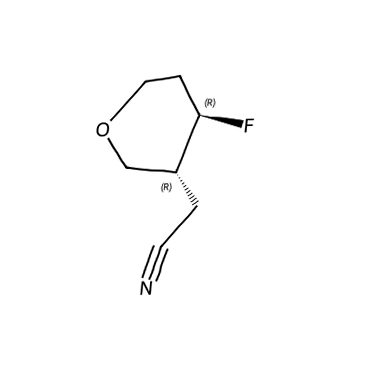 N#CC[C@@H]1COCC[C@H]1F